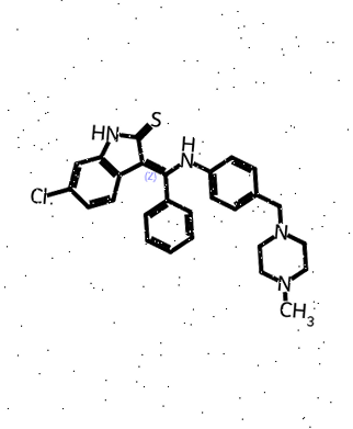 CN1CCN(Cc2ccc(N/C(=C3\C(=S)Nc4cc(Cl)ccc43)c3ccccc3)cc2)CC1